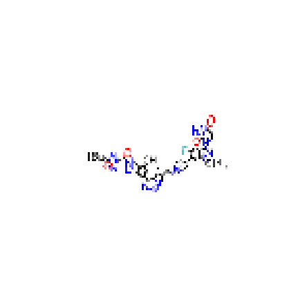 Cc1cc(-c2ncnn3cc(CCN4CCC(c5cc6c(cc5F)c(N5CCC(=O)NC5=O)nn6C)CC4)cc23)ccc1CNC(=O)c1noc(C(C)(C)C)n1